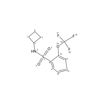 O=S(=O)(NC1CCC1)c1ccccc1OC(F)(F)F